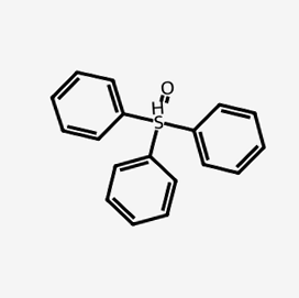 O=[SH](c1ccccc1)(c1ccccc1)c1ccccc1